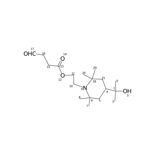 CC(C)(O)C1CC(C)(C)N(CCOC(=O)CCC=O)C(C)(C)C1